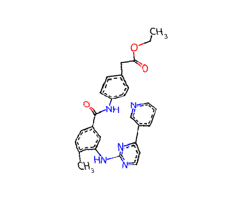 CCOC(=O)Cc1ccc(NC(=O)c2ccc(C)c(Nc3nccc(-c4cccnc4)n3)c2)cc1